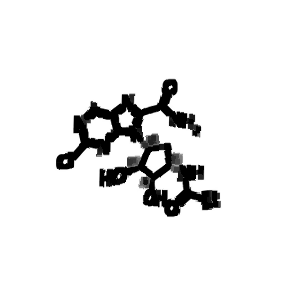 CCC(=O)N[C@H]1C[C@@H](n2c(C(N)=O)nc3[c]nc(Cl)nc32)[C@H](O)[C@@H]1O